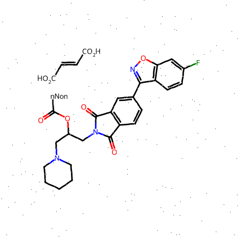 CCCCCCCCCC(=O)OC(CN1CCCCC1)CN1C(=O)c2ccc(-c3noc4cc(F)ccc34)cc2C1=O.O=C(O)C=CC(=O)O